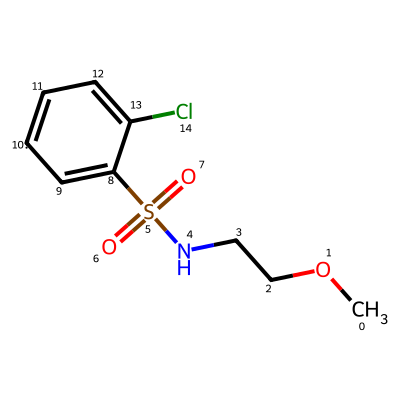 COCCNS(=O)(=O)c1c[c]ccc1Cl